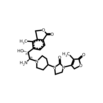 CC1=C(N2CCN(C3CCN([C@@H](N)[C@H](O)c4ccc5c(c4C)COC5=O)CC3)C2=O)COC1=O